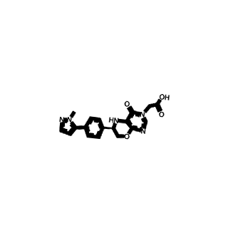 Cn1nccc1-c1ccc([C@@H]2COc3ncn(CC(=O)O)c(=O)c3N2)cc1